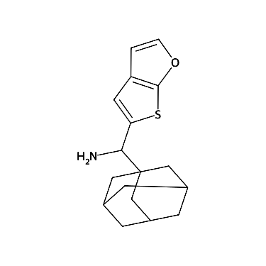 NC(c1cc2ccoc2s1)C12CC3CC(CC(C3)C1)C2